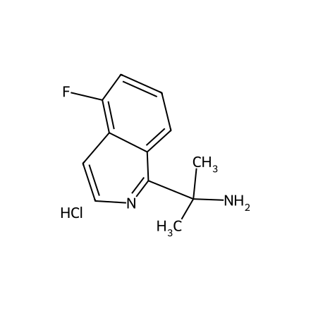 CC(C)(N)c1nccc2c(F)cccc12.Cl